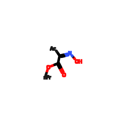 CCCOC(=O)/C(=N\O)C(C)=O